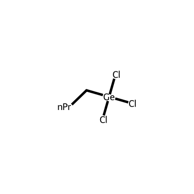 CCC[CH2][Ge]([Cl])([Cl])[Cl]